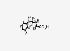 Cc1cncc(NC(F)(F)C(F)C(=O)C(=O)O)c1